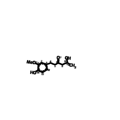 COc1cc(CCC(=O)C[C@H](C)O)ccc1O